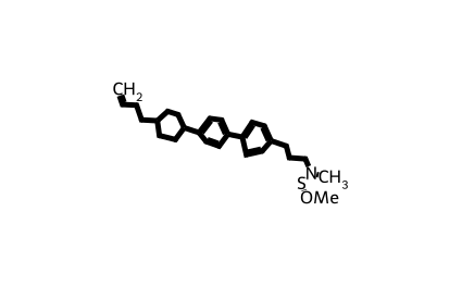 C=CCCC1CCC(c2ccc(-c3ccc(CCCN(C)SOC)cc3)cc2)CC1